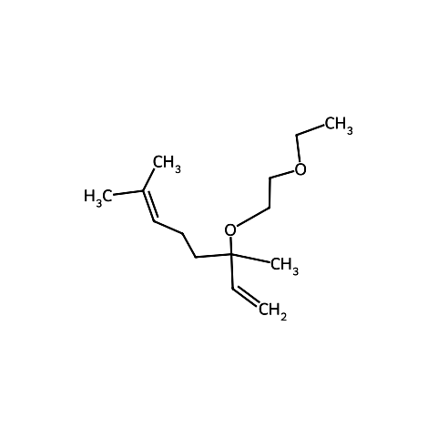 C=CC(C)(CCC=C(C)C)OCCOCC